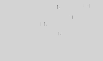 Cc1cnc2c(NC(c3ccccc3)c3ccccc3)nccn12